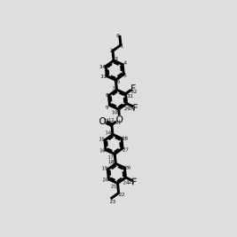 CCCc1ccc(-c2ccc(OC(=O)c3ccc(-c4ccc(CC)c(F)c4)cc3)c(F)c2F)cc1